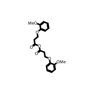 COc1ccccc1OCCC(=O)OC(=O)CCOc1ccccc1OC